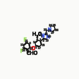 Cn1c(-c2ccc(Oc3cc(F)cc(F)c3C=O)cc2)cnc1CN1CCCC1